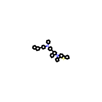 c1ccc(N(c2ccc(-c3ccc4ccccc4c3)cc2)c2ccc(-c3ccc(-n4c5ccccc5c5c6sc7ccccc7c6ccc54)c4ccccc34)cc2)cc1